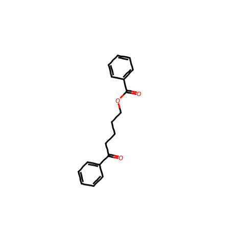 O=C(CCCCOC(=O)c1ccccc1)c1ccccc1